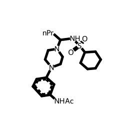 CCCC(NS(=O)(=O)C1CCCCC1)N1CCN(c2cccc(NC(C)=O)c2)CC1